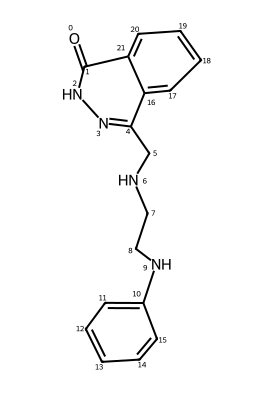 O=c1[nH]nc(CNCCNc2ccccc2)c2ccccc12